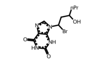 CCCC(O)CC(Br)n1cnc2c(=O)[nH]c(=O)[nH]c21